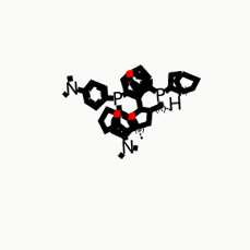 C[C@H](C1C[C@@](C)(CC2CCCC2)CC1c1ccccc1P(c1ccc(N(C)C)cc1)c1ccc(N(C)C)cc1)P(C1CC2CCC1C2)C1CC2CC[C@@H]1C2